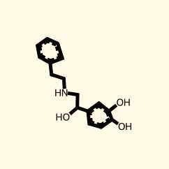 Oc1ccc(C(O)CNCCc2ccccc2)cc1O